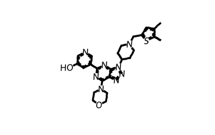 Cc1cc(CN2CCC(n3nnc4c(N5CCOCC5)nc(-c5cncc(O)c5)nc43)CC2)sc1C